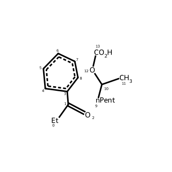 CCC(=O)c1ccccc1.CCCCCC(C)OC(=O)O